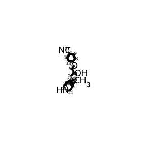 CN(CC(O)COc1ccc(C#N)cc1)C1C2CCC1CNC2